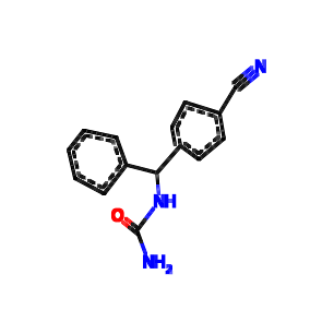 N#Cc1ccc(C(NC(N)=O)c2ccccc2)cc1